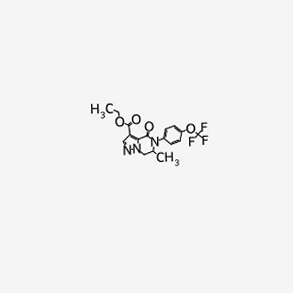 CCOC(=O)c1cnn2c1C(=O)N(c1ccc(OC(F)(F)F)cc1)C(C)C2